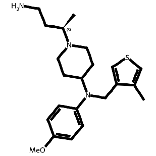 COc1ccc(N(Cc2cscc2C)C2CCN([C@H](C)CCN)CC2)cc1